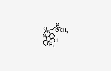 CCS(=O)(=O)CCCN1C(=O)CN=C(c2ccccc2C)c2cc(Cl)ccc21